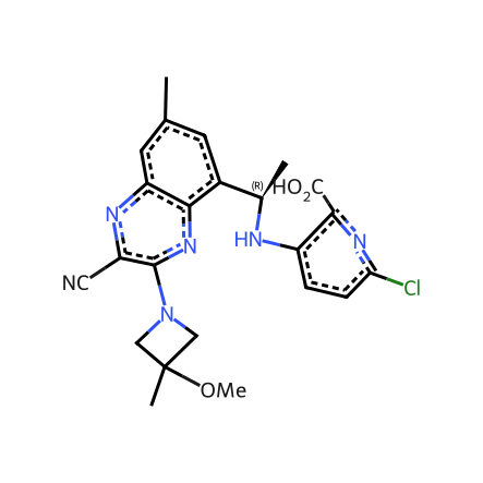 COC1(C)CN(c2nc3c([C@@H](C)Nc4ccc(Cl)nc4C(=O)O)cc(C)cc3nc2C#N)C1